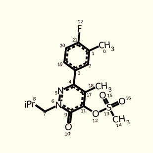 Cc1cc(-c2nn(CC(C)C)c(=O)c(OS(C)(=O)=O)c2C)ccc1F